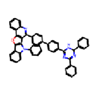 c1ccc(C2=NC(c3ccccc3)NC(c3ccc(-c4ccc(-c5nc6ccccc6c6oc7c8ccccc8n(-c8ccccc8)c7c56)cc4)cc3)=N2)cc1